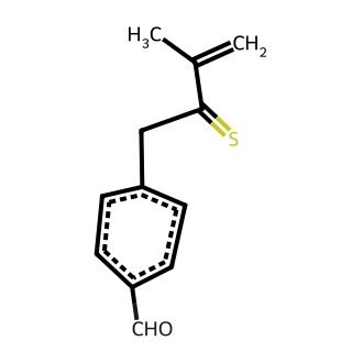 C=C(C)C(=S)Cc1ccc(C=O)cc1